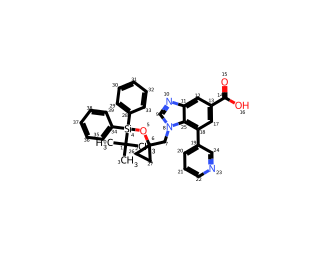 CC(C)(C)[Si](OC1(Cn2cnc3cc(C(=O)O)cc(-c4cccnc4)c32)CC1)(c1ccccc1)c1ccccc1